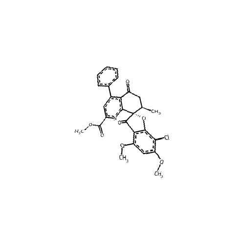 COC(=O)c1cc(-c2ccccc2)c2c(n1)[C@@]1(Oc3c(Cl)c(OC)cc(OC)c3C1=O)[C@H](C)CC2=O